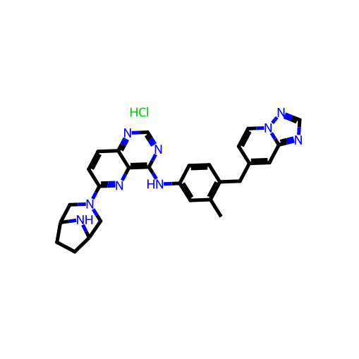 Cc1cc(Nc2ncnc3ccc(N4CC5CCC(C4)N5)nc23)ccc1Cc1ccn2ncnc2c1.Cl